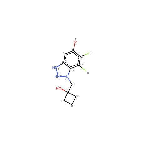 OC1(CN2NNc3cc(Br)c(F)c(F)c32)CCC1